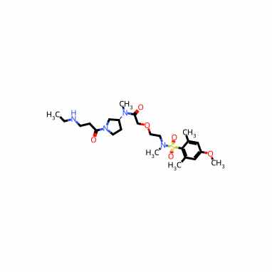 CCNCCC(=O)N1CC[C@@H](N(C)C(=O)COCCN(C)S(=O)(=O)c2c(C)cc(OC)cc2C)C1